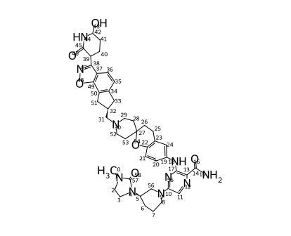 CN1CCN([C@@H]2CCCN(c3cnc(C(N)=O)c(Nc4ccc5c(c4)CCC4(CCN(C[C@@H]6Cc7ccc8c(C9CCC(O)NC9=O)noc8c7C6)CC4)O5)n3)C2)C1=O